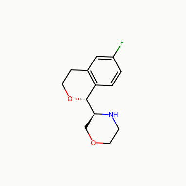 Fc1ccc2c(c1)CCO[C@H]2[C@@H]1COCCN1